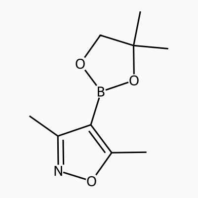 Cc1noc(C)c1B1OCC(C)(C)O1